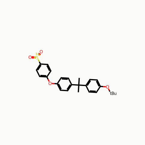 CC(C)(C)Oc1ccc(C(C)(C)c2ccc(Oc3ccc([SH](=O)=O)cc3)cc2)cc1